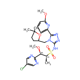 COc1cccc(-c2nnc(NS(=O)(=O)[C@@H](C)[C@H](OC)c3ncc(Cl)cn3)n2CC2CCC(C)(C)O2)n1